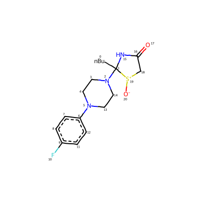 CCCCC1(N2CCN(c3ccc(F)cc3)CC2)NC(=O)C[S+]1[O-]